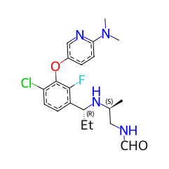 CC[C@@H](N[C@@H](C)CNC=O)c1ccc(Cl)c(Oc2ccc(N(C)C)nc2)c1F